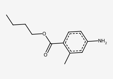 CCCCOC(=O)c1ccc(N)cc1C